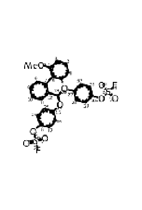 COc1ccccc1-c1ccccc1C(Oc1ccc(OS(=O)(=O)F)cc1)Oc1ccc(OS(=O)(=O)F)cc1